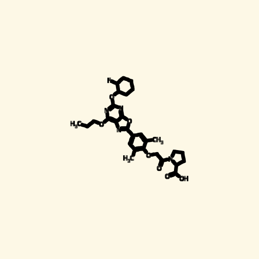 CCCOc1nc(OC2CCCCC2F)nc2oc(-c3cc(C)c(OCC(=O)N4CCCC4C(=O)O)c(C)c3)nc12